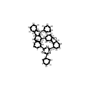 c1ccc(-c2nc(-c3ccccc3)nc(-c3cccc4oc5ccc(-c6cccc7c8ccccc8n(-c8ccccc8)c67)cc5c34)n2)cc1